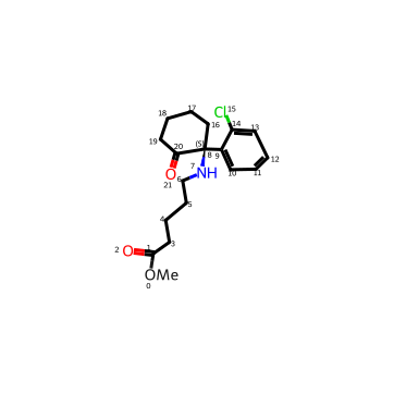 COC(=O)CCCCN[C@]1(c2ccccc2Cl)CCCCC1=O